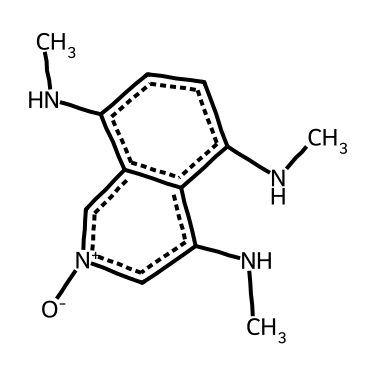 CNc1ccc(NC)c2c(NC)c[n+]([O-])cc12